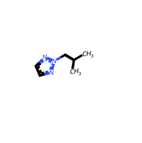 C[C](C)Cn1nccn1